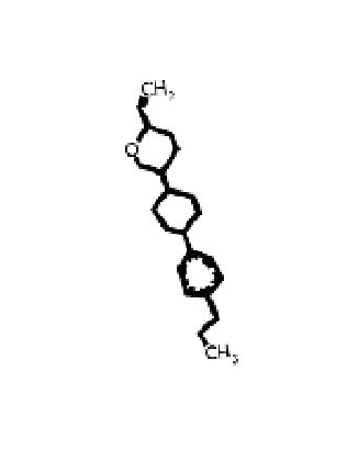 C=CC1CCC(C2CCC(c3ccc(CCC)cc3)CC2)CO1